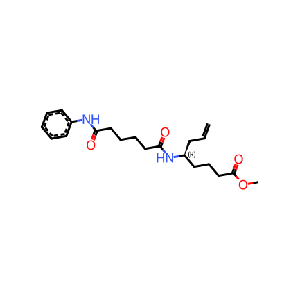 C=CC[C@@H](CCCC(=O)OC)NC(=O)CCCCC(=O)Nc1ccccc1